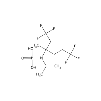 CC(C)N(C(C)(CCC(F)(F)F)CC(F)(F)F)P(=O)(O)O